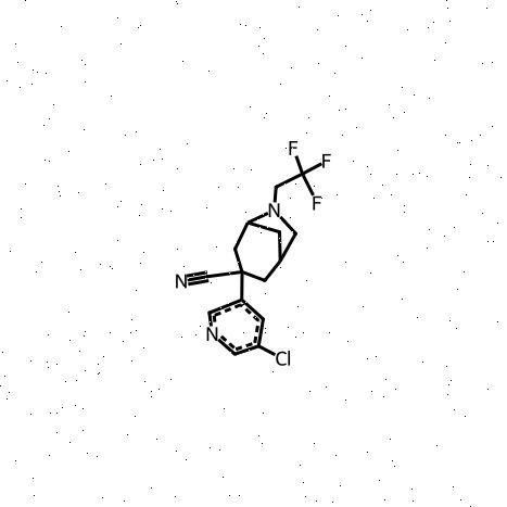 N#CC1(c2cncc(Cl)c2)CC2CC(C1)N(CC(F)(F)F)C2